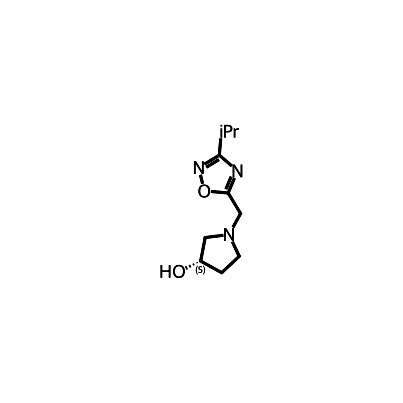 CC(C)c1noc(CN2CC[C@H](O)C2)n1